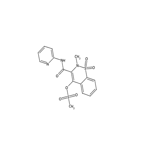 CN1C(C(=O)Nc2ccccn2)=C(OS(C)(=O)=O)c2ccccc2S1(=O)=O